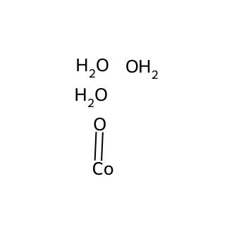 O.O.O.[O]=[Co]